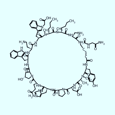 CCCC[C@H]1C(=O)N(C)[C@@H](CCCC)C(=O)N[C@@H](CN)C(=O)N[C@H](C(=O)NCC(N)=O)CSCC(=O)N[C@@H](Cc2ccc(O)cc2)C(=O)N(C)[C@@H](C)C(=O)N[C@@H](CC(=O)O)C(=O)N2CCC[C@H]2C(=O)N[C@@H](Cc2cnc[nH]2)C(=O)N[C@@H](CCC(N)=O)C(=O)N2C[C@H](O)C[C@H]2C(=O)N[C@@H](Cc2c[nH]c3ccccc23)C(=O)N[C@@H](CCN)C(=O)N[C@@H](Cc2cn(CC(=O)O)c3ccccc23)C(=O)N1C